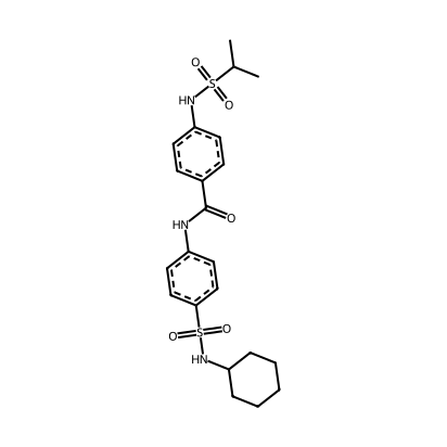 CC(C)S(=O)(=O)Nc1ccc(C(=O)Nc2ccc(S(=O)(=O)NC3CCCCC3)cc2)cc1